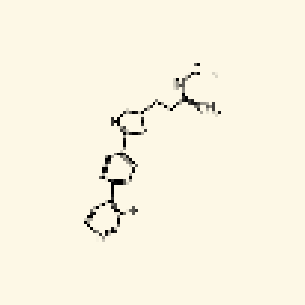 C=C(CCC1CN=C(c2ccc(-c3ccncc3F)cc2)C1)NC